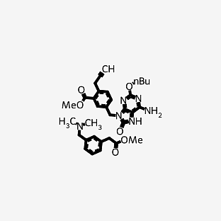 C#CCc1ccc(Cn2c(=O)[nH]c3c(N)nc(OCCCC)nc32)cc1C(=O)OC.COC(=O)Cc1cccc(CN(C)C)c1